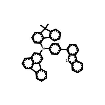 CC1(C)c2ccccc2-c2c(N(c3ccc(-c4cccc5c4oc4ccccc45)cc3)c3cc4c5c(cccc5c3)-c3ccccc3-4)cccc21